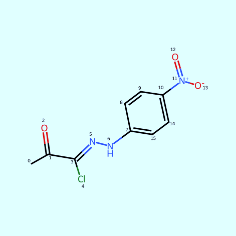 CC(=O)C(Cl)=NNc1ccc([N+](=O)[O-])cc1